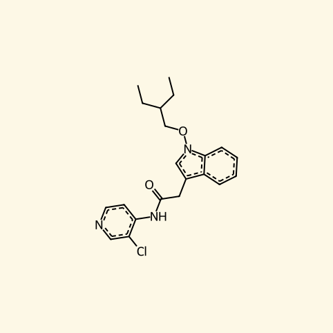 CCC(CC)COn1cc(CC(=O)Nc2ccncc2Cl)c2ccccc21